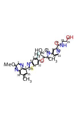 COc1cnc2c(-c3nc4cc(F)c(OC(C)C(C)N(C(=O)O)c5ccnc(C(=O)NCCO)c5)cc4s3)cc(C)cc2n1